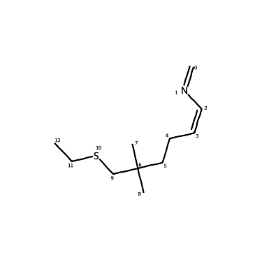 C=N/C=C\CCC(C)(C)CSCC